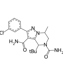 CC1CN(C(N)=O)C(C(C)(C)C)c2c(C(N)=O)c(-c3cccc(Cl)c3)nn21